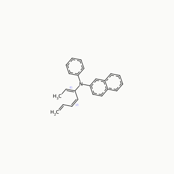 C=C/C=C\C(=C/C)N(c1ccccc1)c1ccc2ccccc2c1